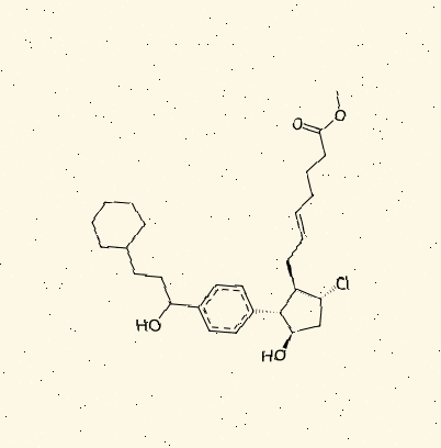 COC(=O)CCCC=CC[C@@H]1[C@@H](c2ccc(C(O)CCC3CCCCC3)cc2)[C@H](O)C[C@H]1Cl